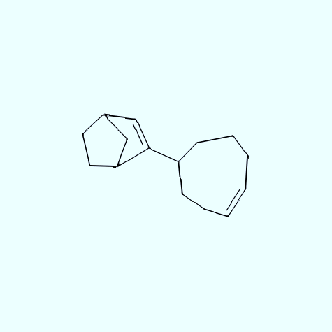 C1=C(C2CC/C=C\CCC2)C2CCC1C2